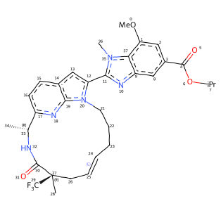 COc1cc(C(=O)OC(C)C)cc2nc(-c3cc4ccc5nc4n3CCC/C=C/C[C@@](C)(C(F)(F)F)C(=O)N[C@@H]5C)n(C)c12